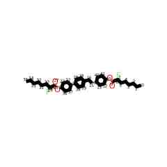 CCCCCC[C@H](F)C(=O)O[C@H]1CC[C@H](CCc2ccc([C@H]3CC[C@H](OC(=O)[C@@H](F)CCCCCC)CC3)cc2)CC1